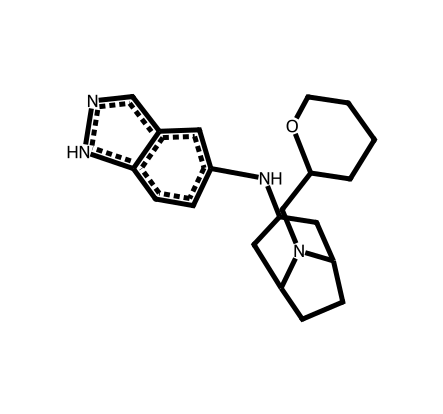 c1cc2[nH]ncc2cc1NC1CC2CCC(C1)N2CC1CCCCO1